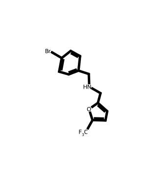 FC(F)(F)c1ccc(CNCc2ccc(Br)cc2)o1